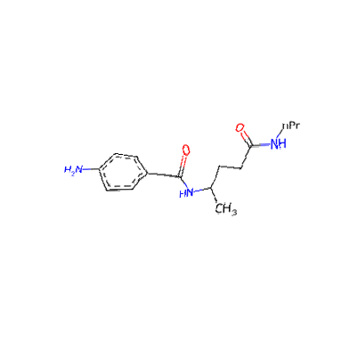 CCCNC(=O)CCC(C)NC(=O)c1ccc(N)cc1